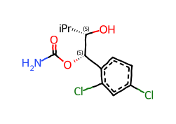 CC(C)[C@H](O)[C@@H](OC(N)=O)c1ccc(Cl)cc1Cl